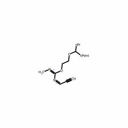 C#C/C=N\C(=N/C)OCCOC(CCC)CCCCC